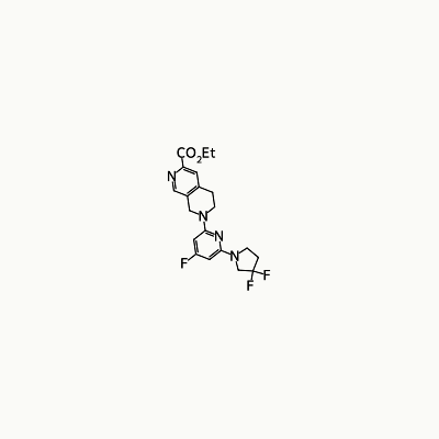 CCOC(=O)c1cc2c(cn1)CN(c1cc(F)cc(N3CCC(F)(F)C3)n1)CC2